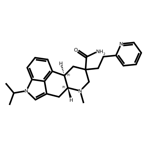 CC(C)n1cc2c3c(cccc31)[C@H]1CC(CCc3ccccn3)(C(N)=O)CN(C)[C@@H]1C2